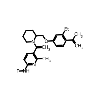 C=C(C)c1ccc(OCC2CCCCN2C(=C)c2ccc(NF)nc2C)cc1CC